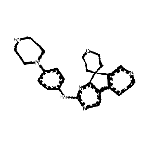 c1cc2c(cn1)C1(CCOCC1)c1nc(Nc3ccc(N4CCNCC4)cc3)ncc1-2